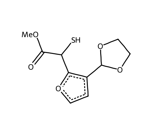 COC(=O)C(S)c1occc1C1OCCO1